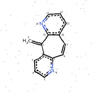 C=C1c2cccnc2C=Cc2cccnc21